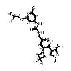 Cn1cc(-c2nnc(CNC(=O)Nc3cc(Cl)nc(OCC(F)F)c3)cc2N2CC(F)(F)C2)c(C(F)(F)F)n1